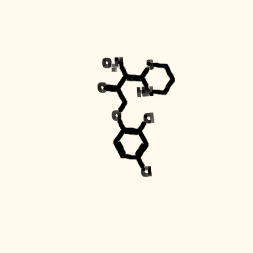 O=C(COc1ccc(Cl)cc1Cl)C(=C1NCCCS1)[N+](=O)[O-]